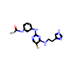 CCCC(=O)Nc1cccc(Nc2ncc(Br)c(NCCc3c[nH]cn3)n2)c1